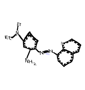 CCN(CC)c1ccc(/N=N/c2cccc3cccnc23)c(N)c1